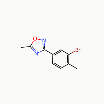 Cc1nc(-c2ccc(C)c(Br)c2)no1